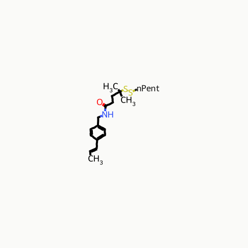 CC=Cc1ccc(CNC(=O)CCC(C)(C)SSCCCCC)cc1